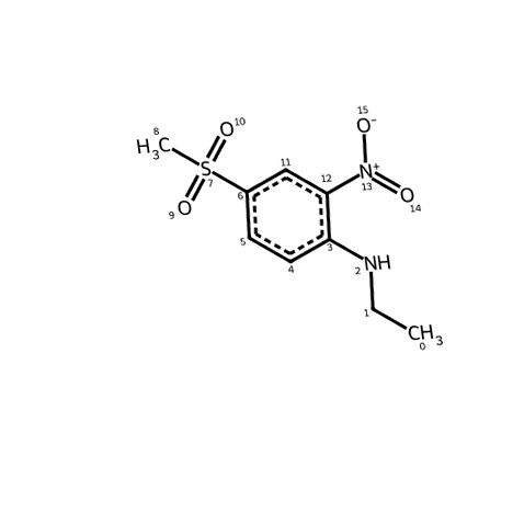 CCNc1ccc(S(C)(=O)=O)cc1[N+](=O)[O-]